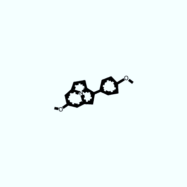 COc1ccc(-c2cc3cc(OC)cc4ccc2n43)cc1